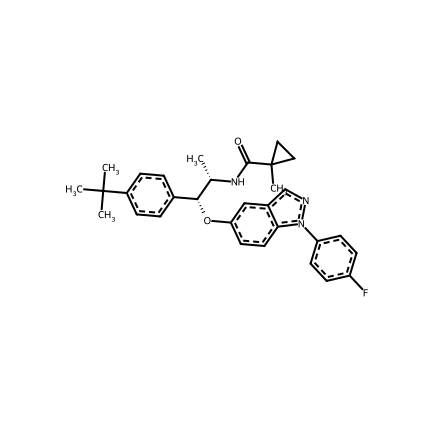 C[C@H](NC(=O)C1(C)CC1)[C@H](Oc1ccc2c(cnn2-c2ccc(F)cc2)c1)c1ccc(C(C)(C)C)cc1